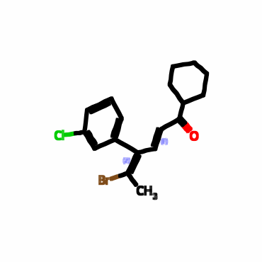 C/C(Br)=C(\C=C\C(=O)C1CCCCC1)c1cccc(Cl)c1